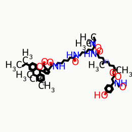 CCC(C)c1ccc2c(c1)C(C)(C)c1cc(C)ccc1C21OC(=O)c2c(C(=O)NCCCCCC(=O)NCCCCC(NC(=O)CC/C(C)=C/CC[C@H](C)OC(=O)CC(NC=O)c3ccc(O)cc3)C(=O)N(C)CC)cccc21